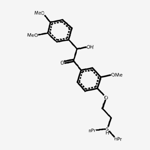 CCC[SH](CCC)CCOc1ccc(C(=O)C(O)c2ccc(OC)c(OC)c2)cc1OC